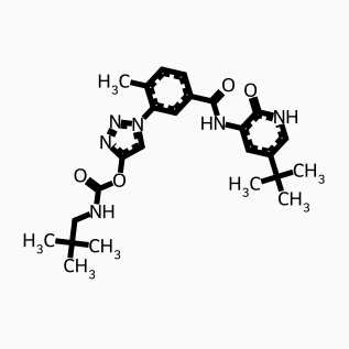 Cc1ccc(C(=O)Nc2cc(C(C)(C)C)c[nH]c2=O)cc1-n1cc(OC(=O)NCC(C)(C)C)nn1